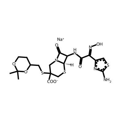 CC1(C)OCCC(CSC2(C(=O)[O-])CS[C@@H]3C(NC(=O)C(=NO)c4csc(N)n4)C(=O)N3C2)O1.[Na+]